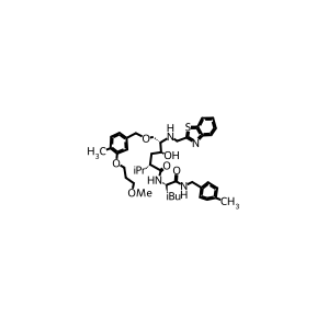 CC[C@H](C)[C@H](NC(=O)[C@@H](C[C@H](O)[C@H](COCc1ccc(C)c(OCCCOC)c1)NCc1nc2ccccc2s1)C(C)C)C(=O)NCc1ccc(C)cc1